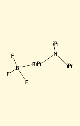 CCCN(C(C)C)C(C)C.F[B-](F)(F)F